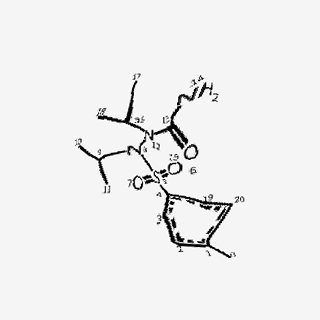 Cc1ccc(S(=O)(=O)N(C(C)C)N(C(N)=O)C(C)C)cc1